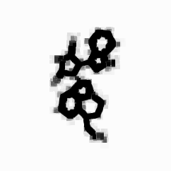 CCC1CCn2cc([C@@H]3C(=O)NC(=O)[C@H]3c3c[nH]c4ccccc34)c3cccc1c32